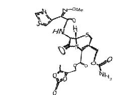 CO/N=C(\C(=O)NC1C(=O)N2C(C(=O)OCc3oc(=O)oc3C)=C(COC(N)=O)CS[C@@H]12)c1cscn1